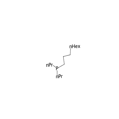 CCCCCCCCCP(CCC)CCC